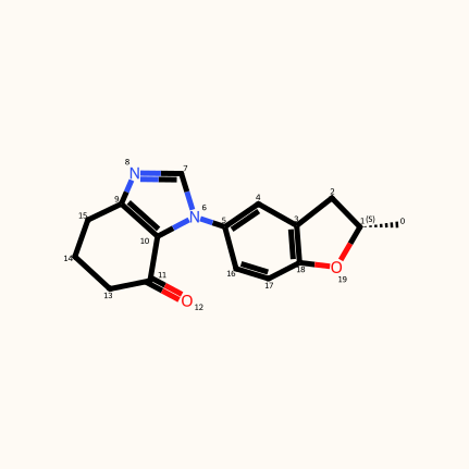 C[C@H]1Cc2cc(-n3cnc4c3C(=O)CCC4)ccc2O1